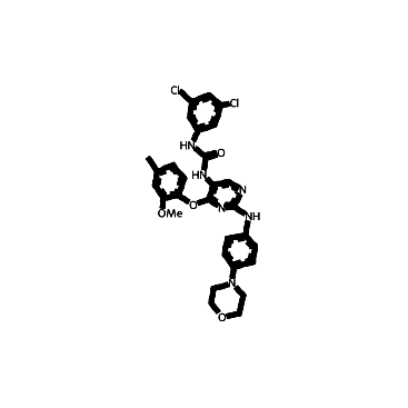 COc1cc(C)ccc1Oc1nc(Nc2ccc(N3CCOCC3)cc2)ncc1NC(=O)Nc1cc(Cl)cc(Cl)c1